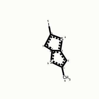 Cc1cc2sc(I)cc2s1